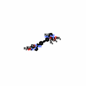 COO/C=N\[C@H](C(=O)N1CCC[C@H]1c1ncc(-c2ccc(C#Cc3ccc4nc([C@]5(C)CCCN5C(=O)[C@@H](NC(=O)OC)C(C)C)[nH]c4c3)cc2)[nH]1)C(C)C